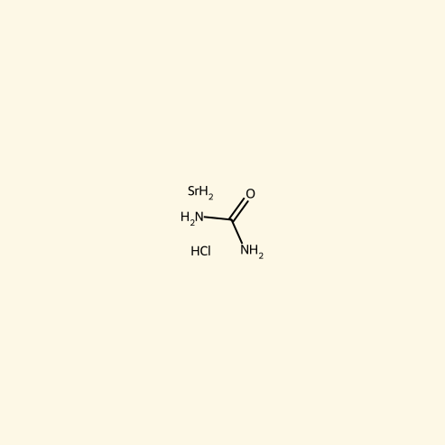 Cl.NC(N)=O.[SrH2]